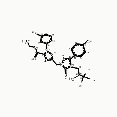 CCOC(=O)c1nc(Cn2nc(-c3ccc(Cl)cc3)n(C[C@H](O)C(F)(F)F)c2=O)nn1-c1cccc(F)c1